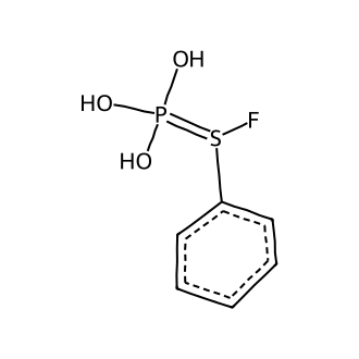 OP(O)(O)=S(F)c1ccccc1